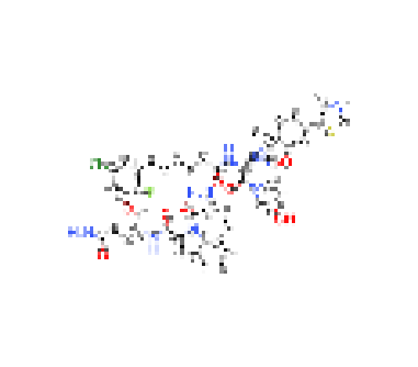 Cc1ncsc1-c1ccc([C@H](C)NC(=O)[C@@H]2C[C@@H](O)CN2C(=O)[C@@H](NC(=O)CCCCCc2cc(Cl)cc(OC[C@H](CCC(N)=O)NC(=O)[C@@H]3Cc4cccc5c4N3C(=O)[C@@H](N)CC5)c2F)C(C)(C)C)cc1